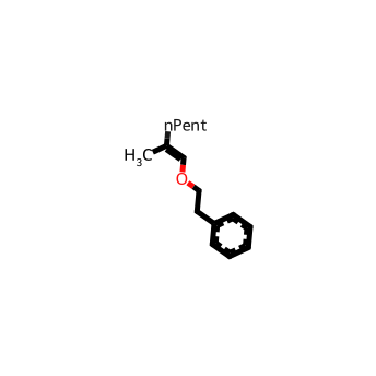 CCCCCC(C)=COCCc1ccccc1